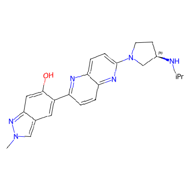 CC(C)N[C@@H]1CCN(c2ccc3nc(-c4cc5cn(C)nc5cc4O)ccc3n2)C1